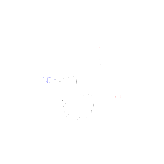 N#CC1(c2ccccc2C=O)CCOCC1